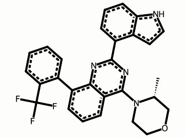 C[C@@H]1COCCN1c1nc(-c2cccc3[nH]ccc23)nc2c(-c3ccccc3C(F)(F)F)cccc12